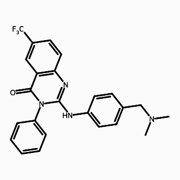 CN(C)Cc1ccc(Nc2nc3ccc(C(F)(F)F)cc3c(=O)n2-c2ccccc2)cc1